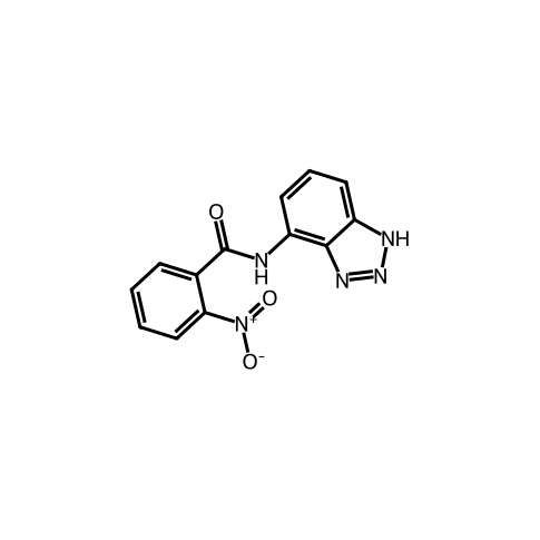 O=C(Nc1cccc2[nH]nnc12)c1ccccc1[N+](=O)[O-]